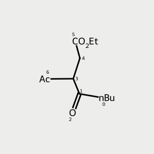 CCCCC(=O)C(CC(=O)OCC)C(C)=O